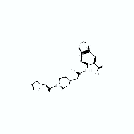 CC(=O)c1cc2c(cc1NC(=O)CC1CCN(C(=O)CN3CCCC3)CC1)OCO2